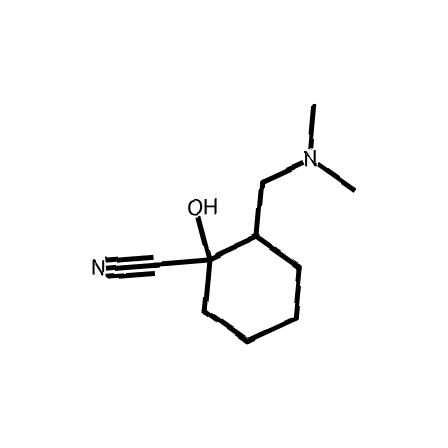 CN(C)CC1CCCCC1(O)C#N